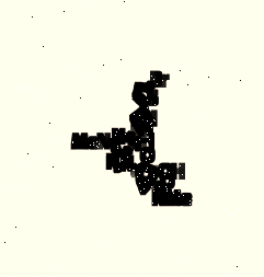 CNC(=O)[C@]12CC1[C@@H](n1cnc3c(NC)nc(-n4cc(-c5ccc(Br)s5)nn4)nc31)C(O)[C@@H]2O